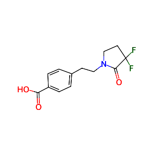 O=C(O)c1ccc(CCN2CCC(F)(F)C2=O)cc1